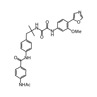 COc1cc(NC(=O)C(=O)NC(C)(C)Cc2ccc(NC(=O)c3ccc(NC(C)=O)cc3)cc2)ccc1-c1cnco1